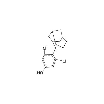 Oc1cc(Cl)c(C2C3CC4CC(C3)CC2C4)c(Cl)c1